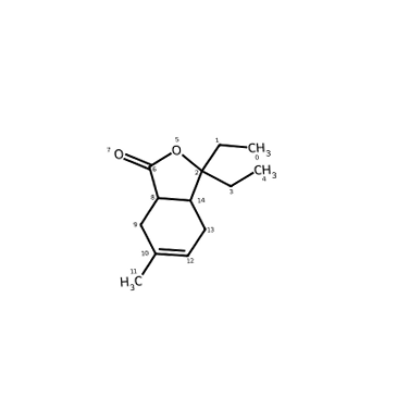 CCC1(CC)OC(=O)C2CC(C)=CCC21